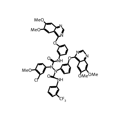 COc1ccc(N(C(=O)Nc2cccc(Oc3ncnc4cc(OC)c(OC)cc34)c2)N(C(=O)Nc2cccc(C(F)(F)F)c2)c2cccc(Oc3ncnc4cc(OC)c(OC)cc34)c2)cc1Cl